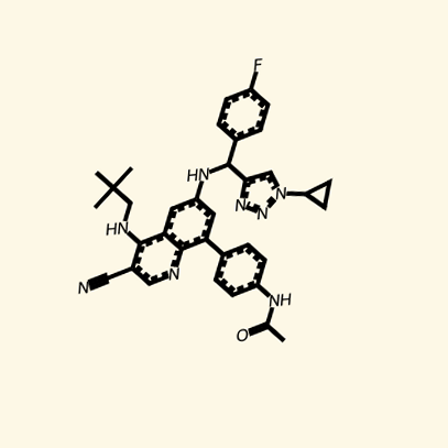 CC(=O)Nc1ccc(-c2cc(NC(c3ccc(F)cc3)c3cn(C4CC4)nn3)cc3c(NCC(C)(C)C)c(C#N)cnc23)cc1